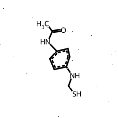 CC(=O)Nc1ccc(NCS)cc1